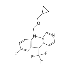 Fc1ccc2c(c1)C(C(F)(F)F)c1ccncc1N2COCC1CC1